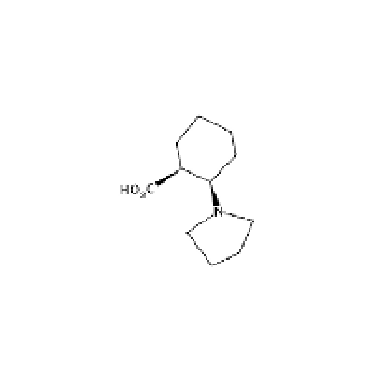 O=C(O)[C@H]1CCCC[C@H]1N1CCCC1